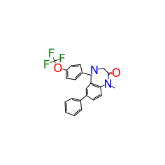 CN1C(=O)CN=C(c2ccc(OC(F)(F)F)cc2)c2cc(-c3ccccc3)ccc21